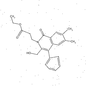 CCOC(=O)CCn1c(CO)c(-c2ccccc2)c2cc(C)c(C)cc2c1=O